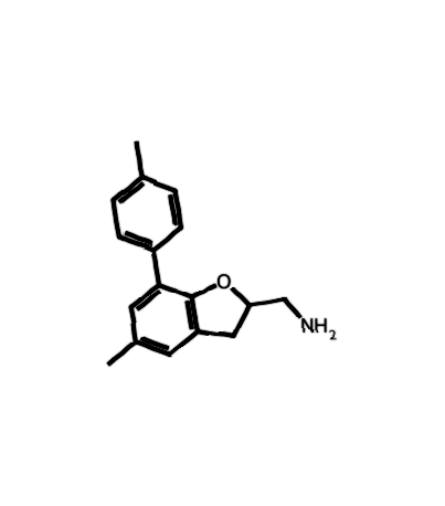 Cc1ccc(-c2cc(C)cc3c2OC(CN)C3)cc1